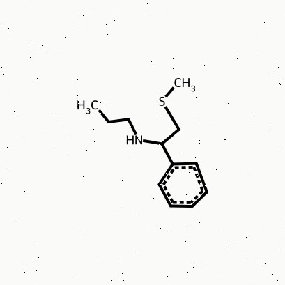 CCCNC(CSC)c1ccccc1